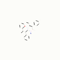 C=C/C(=C(/C(C)=O)c1ccc(C)cc1)N(C)/C(N=C)=C(\C(=C)c1ccccc1)c1ccccc1